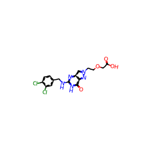 O=C(O)COCCn1cc2nc(NCc3ccc(Cl)c(Cl)c3)[nH]c(=O)c2n1